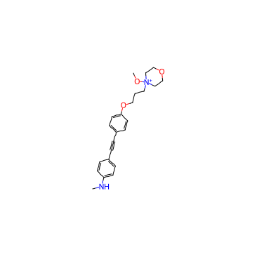 CNc1ccc(C#Cc2ccc(OCCC[N+]3(OC)CCOCC3)cc2)cc1